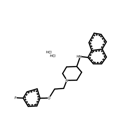 Cl.Cl.Fc1ccc(OCCN2CCC(Nc3cccc4ccccc34)CC2)cc1